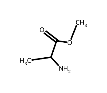 COC(=O)[C](C)N